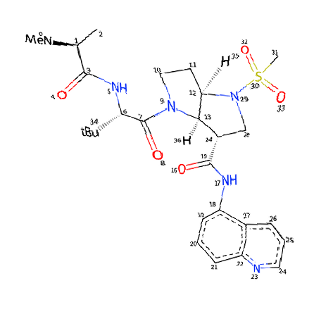 CN[C@@H](C)C(=O)N[C@H](C(=O)N1CC[C@@H]2[C@H]1[C@@H](C(=O)Nc1cccc3ncccc13)CN2S(C)(=O)=O)C(C)(C)C